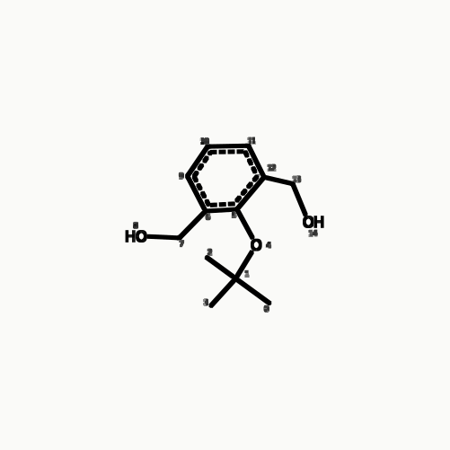 CC(C)(C)Oc1c(CO)cccc1CO